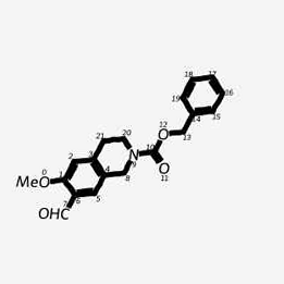 COc1cc2c(cc1C=O)CN(C(=O)OCc1ccccc1)CC2